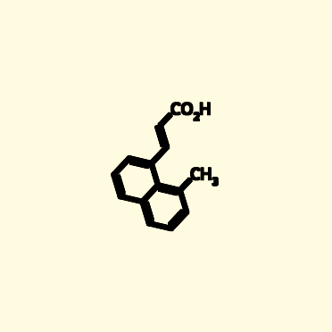 Cc1cccc2cccc(/C=C/C(=O)O)c12